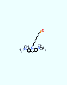 CN(C)c1ccc2c(c1)N(CCCCCCCCCC#P=O)c1cc(N(C)C)ccc1C2